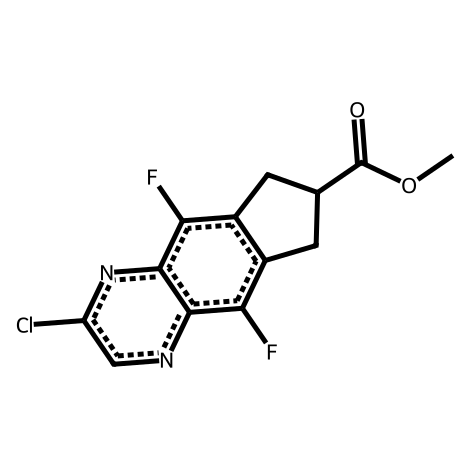 COC(=O)C1Cc2c(c(F)c3nc(Cl)cnc3c2F)C1